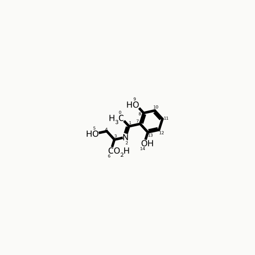 CC(=NC(CO)C(=O)O)c1c(O)cccc1O